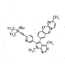 Cc1ccnc(Oc2ccc(-c3c(-c4ccc(C#C[Si](C)(C)C(C)(C)C)nc4)n(C)c4ncnc(C)c34)cc2F)n1